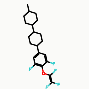 CC1CCC(C2CCC(c3cc(F)c(OC(F)=C(F)F)c(F)c3)CC2)CC1